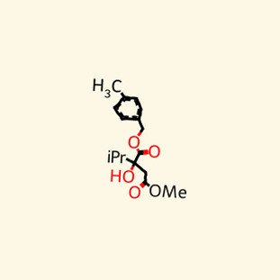 COC(=O)CC(O)(C(=O)OCc1ccc(C)cc1)C(C)C